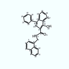 O=C(NCc1cccc2ccccc12)c1nc(-c2ccccc2)c2cccnc2c1O